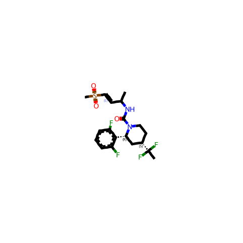 CC(/C=C/S(C)(=O)=O)NC(=O)N1CC[C@H](C(C)(F)F)C[C@@H]1c1c(F)cccc1F